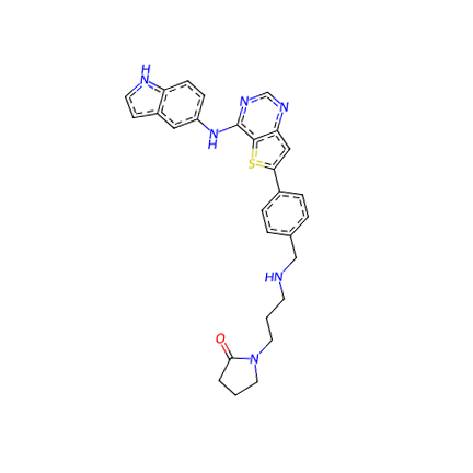 O=C1CCCN1CCCNCc1ccc(-c2cc3ncnc(Nc4ccc5[nH]ccc5c4)c3s2)cc1